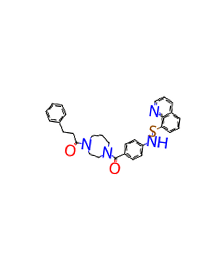 O=C(CCc1ccccc1)N1CCCN(C(=O)c2ccc(NSc3cccc4cccnc34)cc2)CC1